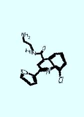 NCCNC(=O)c1cc(-c2ccco2)nc2c(Cl)cccc12